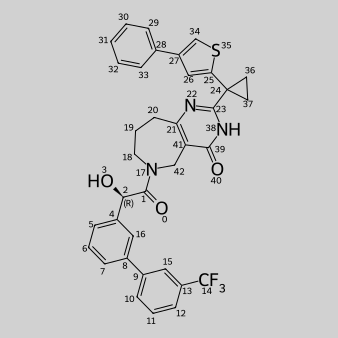 O=C([C@H](O)c1cccc(-c2cccc(C(F)(F)F)c2)c1)N1CCCc2nc(C3(c4cc(-c5ccccc5)cs4)CC3)[nH]c(=O)c2C1